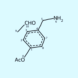 CC(=O)Oc1ccc(CN)cc1.CC=O